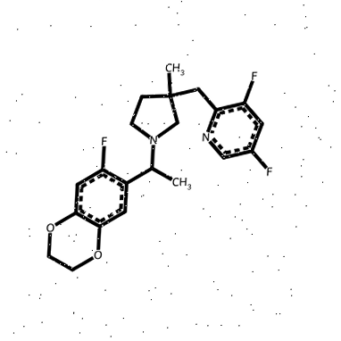 CC(c1cc2c(cc1F)OCCO2)N1CCC(C)(Cc2ncc(F)cc2F)C1